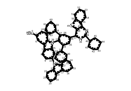 CC(C)(C)c1ccc2c(c1)c1ccc(-n3c4ccccc4c4ccccc43)cc1n2-c1c(-c2ccccc2)cc(-c2nc(-c3ccccc3)nc3c2sc2ccccc23)cc1-c1ccccc1